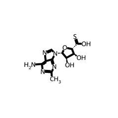 Cc1nc(N)c2ncn([C@@H]3O[C@H](C(O)=S)[C@@H](O)[C@H]3O)c2n1